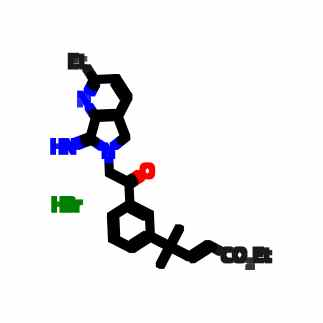 Br.CCOC(=O)C=CC(C)(C)c1cccc(C(=O)CN2Cc3ccc(CC)nc3C2=N)c1